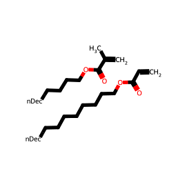 C=C(C)C(=O)OCCCCCCCCCCCCCC.C=CC(=O)OCCCCCCCCCCCCCCCCCC